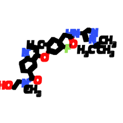 Cc1cc(CC(=O)Nc2cnn(C(C)(C)C)c2)c(F)cc1Oc1ccnc2ccc(C(=O)N(C)CCO)cc12